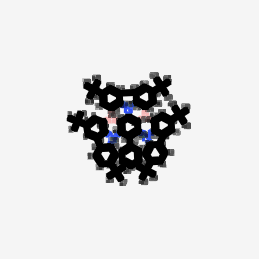 CC(C)(C)c1cc2c3c(c1)c1ccc(C(C)(C)C)cc1n3-c1c3c4c5c(c1-c1ccccc1)-n1c6cc(C(C)(C)C)ccc6c6cc(C(C)(C)C)cc(c61)B5c1cc(C(C)(C)C)cc5c6cc(C(C)(C)C)cc(c6n-4c15)B32